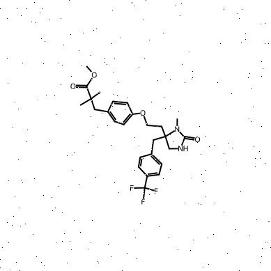 COC(=O)C(C)(C)Cc1ccc(OCCC2(Cc3ccc(C(F)(F)F)cc3)CNC(=O)N2C)cc1